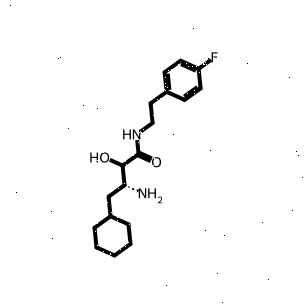 N[C@H](CC1CCCCC1)C(O)C(=O)NCCc1ccc(F)cc1